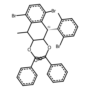 Cc1cccc(Br)c1[C@H]1c2c(Br)ccc(Br)c2C(C)C(OC(=O)c2ccccc2)C1OC(=O)c1ccccc1